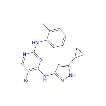 Cc1ccccc1Nc1ncc(Br)c(Nc2cc(C3CC3)[nH]n2)n1